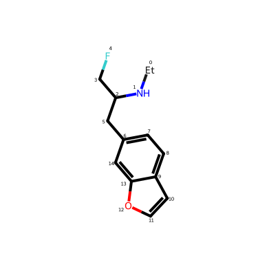 CCNC(CF)Cc1ccc2ccoc2c1